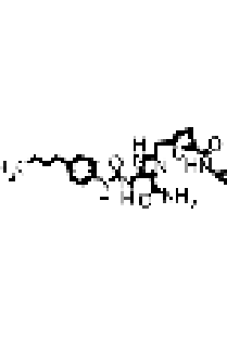 CCCCc1ccc(NC(=O)Nc2[nH]c(Cc3ccc(C(=O)NC4CC4)o3)nc2C(N)=O)cc1